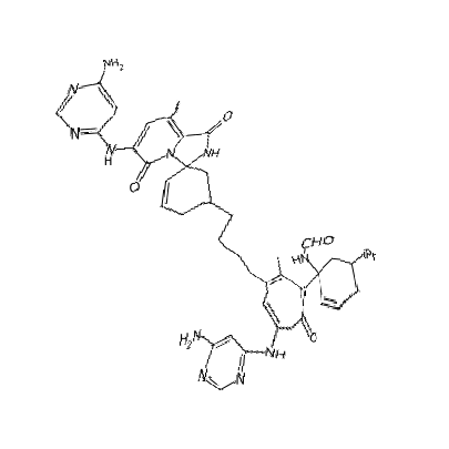 Cc1cc(Nc2cc(N)ncn2)c(=O)n2c1C(=O)NC21C=CCC(CCCCc2cc(Nc3cc(N)ncn3)c(=O)n(C3(NC=O)C=CCC(C(C)C)C3)c2C)C1